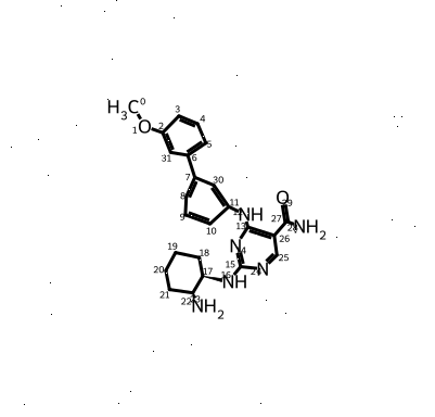 COc1cccc(-c2cccc(Nc3nc(N[C@@H]4CCCC[C@@H]4N)ncc3C(N)=O)c2)c1